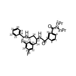 CCCN(CCC)C(=O)c1cccc(C(=O)NC([CH]CNCc2ccccc2)Cc2cc(F)cc(F)c2)c1